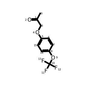 CC(=O)COc1ccc(OC(F)(F)F)cc1